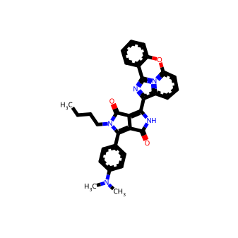 CCCCN1C(=O)C2=C(c3nc4n5c(cccc35)Oc3ccccc3-4)NC(=O)C2=C1c1ccc(N(C)C)cc1